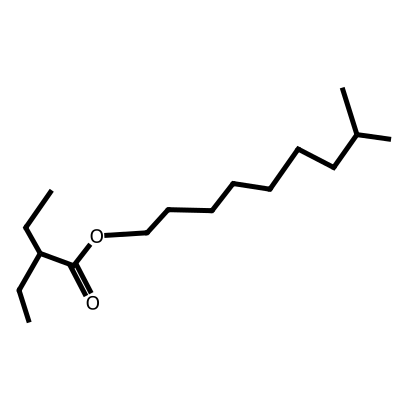 CCC(CC)C(=O)OCCCCCCCC(C)C